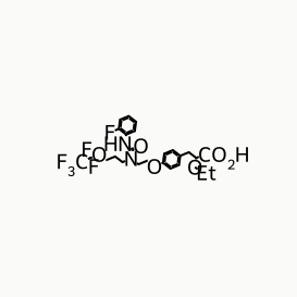 CCOC(Cc1ccc(OCCN(CCCOC(F)(F)C(F)(F)F)C(=O)Nc2ccccc2F)cc1)C(=O)O